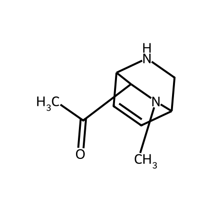 CC(=O)C1C2C=CC(CN2)N1C